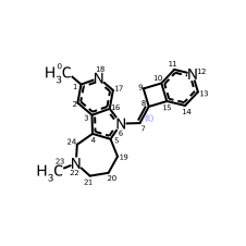 Cc1cc2c3c(n(/C=C4\Cc5cnccc54)c2cn1)CCCN(C)C3